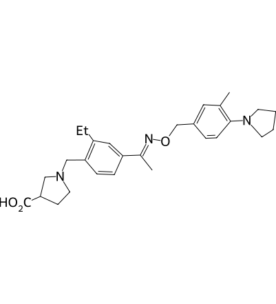 CCc1cc(C(C)=NOCc2ccc(N3CCCC3)c(C)c2)ccc1CN1CCC(C(=O)O)C1